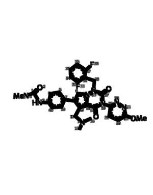 CNC(=O)Nc1ccc(-c2cn3c(c2CN(C)C)c(=O)n(-c2ccc(OC)nn2)c(=O)n3Cc2c(F)cccc2F)cc1